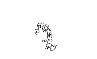 CN(c1cnc2cnn(CC(=O)Nc3cnc4cccnc4c3)c2n1)C1CC2(CC2)C1